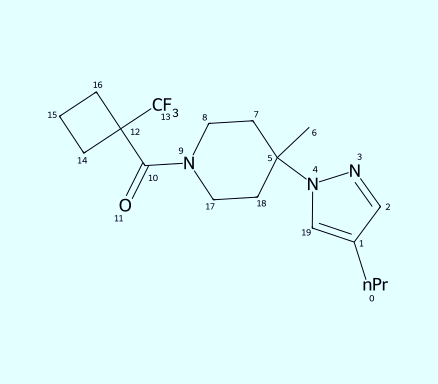 CCCc1cnn(C2(C)CCN(C(=O)C3(C(F)(F)F)CCC3)CC2)c1